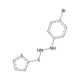 Brc1ccc(NNSc2cccs2)cc1